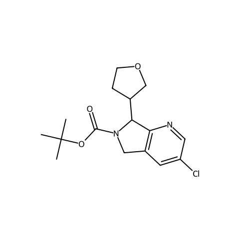 CC(C)(C)OC(=O)N1Cc2cc(Cl)cnc2C1C1CCOC1